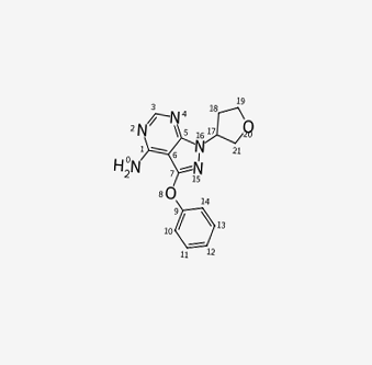 Nc1ncnc2c1c(Oc1ccccc1)nn2C1CCOC1